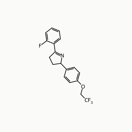 Fc1ccccc1C1=NC(c2ccc(OCC(F)(F)F)cc2)CC1